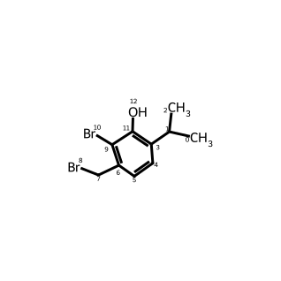 CC(C)c1ccc(CBr)c(Br)c1O